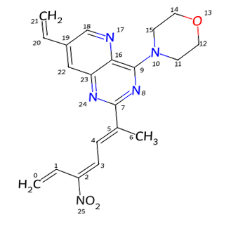 C=C/C(=C\C=C(/C)c1nc(N2CCOCC2)c2ncc(C=C)cc2n1)[N+](=O)[O-]